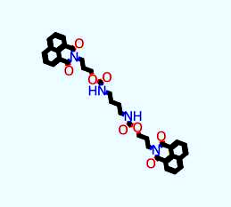 O=C(NCCCCNC(=O)OCCCN1C(=O)c2cccc3cccc(c23)C1=O)OCCCN1C(=O)c2cccc3cccc(c23)C1=O